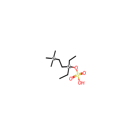 CC[Si](CC)(CC[Si](C)(C)C)OS(=O)(=O)O